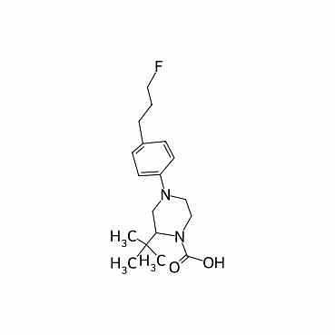 CC(C)(C)C1CN(c2ccc(CCCF)cc2)CCN1C(=O)O